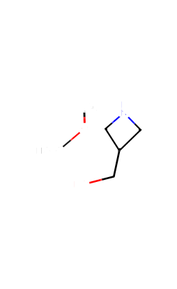 CC(C)(C)OC(=O)O.OCC1CNC1